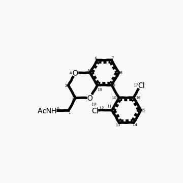 CC(=O)NCC1COc2cccc(-c3c(Cl)cccc3Cl)c2O1